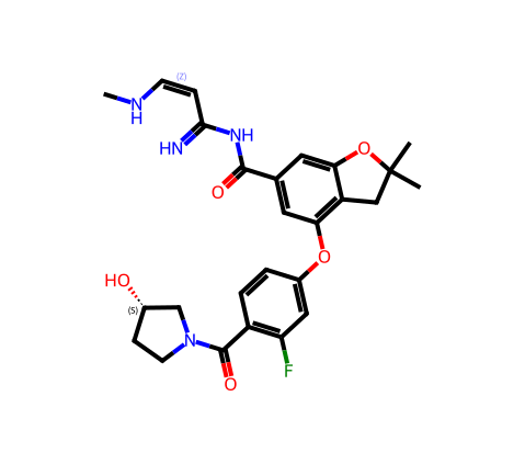 CN/C=C\C(=N)NC(=O)c1cc(Oc2ccc(C(=O)N3CC[C@H](O)C3)c(F)c2)c2c(c1)OC(C)(C)C2